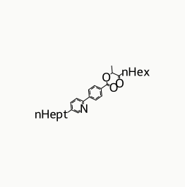 CCCCCCCc1ccc(-c2ccc(C(=O)OC(C)C(=O)CCCCCC)cc2)nc1